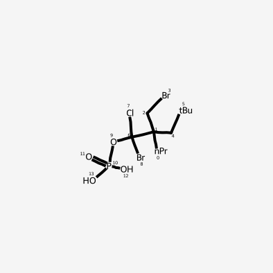 CCCC(CBr)(CC(C)(C)C)C(Cl)(Br)OP(=O)(O)O